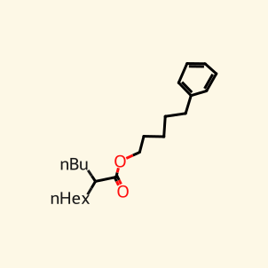 CCCCCCC(CCCC)C(=O)OCCCCCc1ccccc1